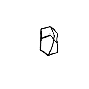 [C]1C2CC3CC1CC(C2)C3